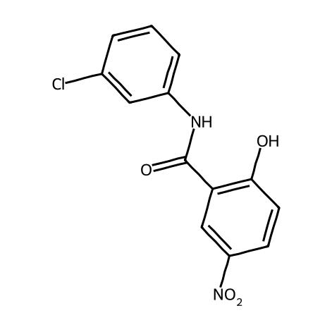 O=C(Nc1cccc(Cl)c1)c1cc([N+](=O)[O-])ccc1O